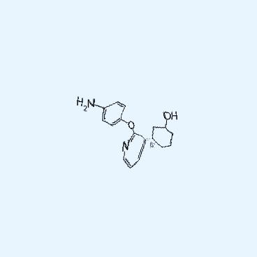 Nc1ccc(Oc2ncccc2[C@H]2CCCC(O)C2)cc1